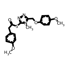 COc1ccc(CC(=O)Sc2nnc(COc3ccc(OC)cc3)n2C)cc1